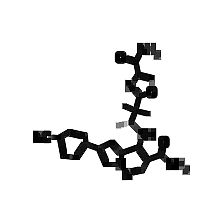 C[C@@H](Nc1c(C(N)=O)cnn2cc(-c3ccc(C#N)cc3)cc12)C(C)(C)c1nc(C(N)=O)co1